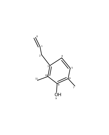 C=CCc1ccc(C)c(O)c1C